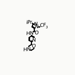 CC(C)c1cc(C(=O)Nc2ccc(C3CNCCO3)nc2)n(CC(F)(F)F)n1